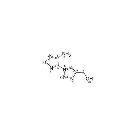 Nc1nonc1-n1cc(CO)nn1